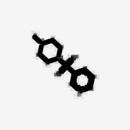 CN1CCN(S(=O)(=O)c2[c]nccc2)CC1